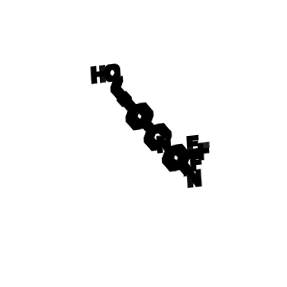 N#Cc1ccc(N2CCC(c3ccc(C#CCCO)cc3)CC2)cc1C(F)(F)F